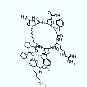 CNC(=O)[C@H](CCCCN)NC(=O)[C@@H]1CCCN1C(=O)[C@@H]1CCCN1C(=O)[C@@H]1CSSCC[C@H](NC(C)=O)C(=O)N[C@@H](CCC(N)=O)C(=O)N[C@H](Cc2ccccc2)C(=O)N[C@@H](CCCNC(=N)N)C(=O)N[C@@H](Cc2c[nH]c3ccccc23)C(=O)N1